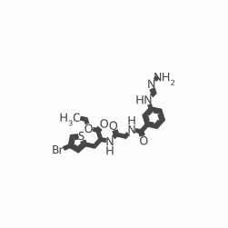 CCOC(=O)C(Cc1cc(Br)cs1)NC(=O)CNC(=O)c1cccc(NC=NN)c1